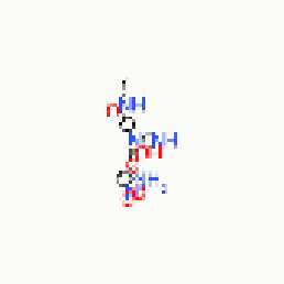 CCCCNC(=O)c1ccc(N(C[C@@H](O)COc2cccc([N+](=O)[O-])c2N)C2CCNCC2)cc1